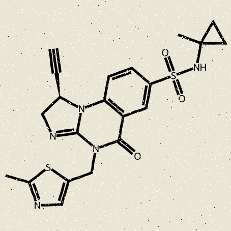 C#C[C@@H]1CN=C2N(Cc3cnc(C)s3)C(=O)c3cc(S(=O)(=O)NC4(C)CC4)ccc3N21